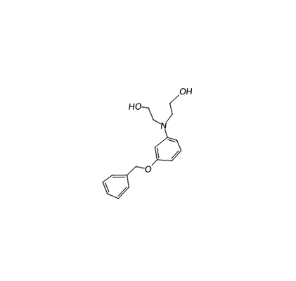 OCCN(CCO)c1cccc(OCc2ccccc2)c1